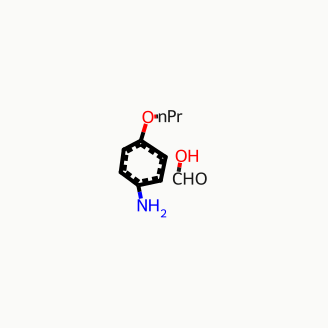 CCCOc1ccc(N)cc1.O=CO